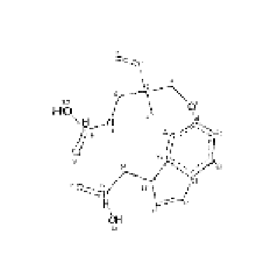 C=CC(C)(CCl)CO[PH](=O)O.O=[PH](O)CC1C=Cc2ccccc21